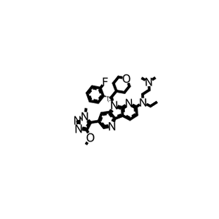 CCN(CCN(C)C)c1ccc2c3ncc(-c4c(OC)nnn4C)cc3n([C@H](c3ccccc3F)C3CCOCC3)c2n1